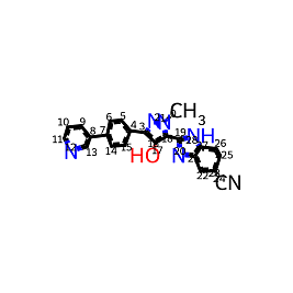 Cn1nc(-c2ccc(-c3cccnc3)cc2)c(O)c1-c1nc2cc(C#N)ccc2[nH]1